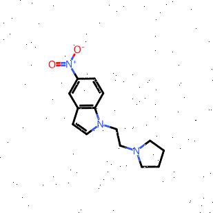 O=[N+]([O-])c1ccc2c(ccn2CCN2CCCC2)c1